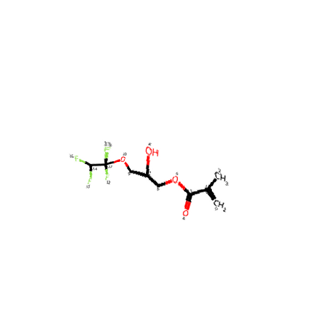 C=C(C)C(=O)OCC(O)COC(F)(F)C(F)F